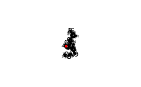 COc1ccc(C(=O)N(C)CC(=O)OC(C)(C)C)cc1C1=C(CN2C(=O)O[C@H](c3cc(C)cc(C(F)(F)F)c3)[C@@H]2C)CC(C)(C)CC1